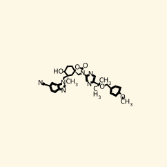 COc1ccc(COC(C)(C)c2cnc(N3C[C@@]4(CC[C@@H](O)[C@](C)(Cn5cnc6ccc(C#N)cc65)C4)OC3=O)cn2)cc1